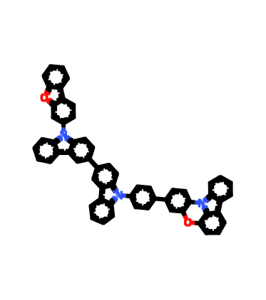 c1ccc2c(c1)oc1cc(-n3c4ccccc4c4cc(-c5ccc6c(c5)c5ccccc5n6-c5ccc(-c6ccc7c(c6)Oc6cccc8c9ccccc9n-7c68)cc5)ccc43)ccc12